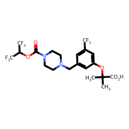 CC(C)(Oc1cc(CN2CCN(C(=O)OC(C(F)(F)F)C(F)(F)F)CC2)cc(C(F)(F)F)c1)C(=O)O